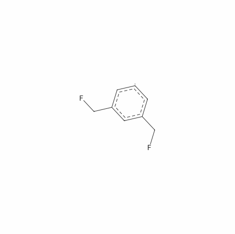 FCc1c[c]cc(CF)c1